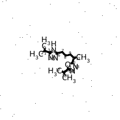 CC(C)c1nnc(CCCC(C)c2nnc(C(C)C)o2)[nH]1